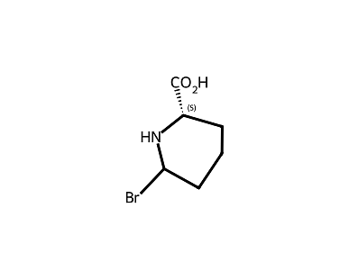 O=C(O)[C@@H]1CCCC(Br)N1